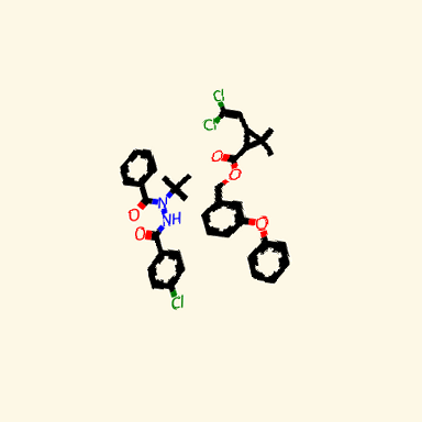 CC(C)(C)N(NC(=O)c1ccc(Cl)cc1)C(=O)c1ccccc1.CC1(C)C(C=C(Cl)Cl)C1C(=O)OCc1cccc(Oc2ccccc2)c1